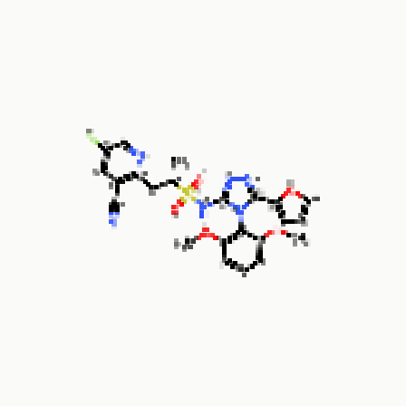 COc1cccc(OC)c1-n1c(NS(=O)(=O)[C@@H](C)Cc2ncc(F)cc2C#N)nnc1-c1ccco1